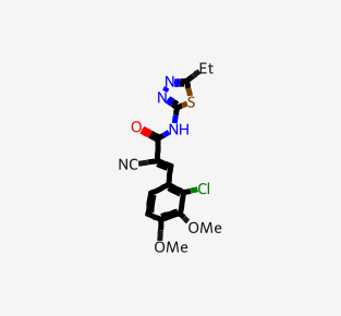 CCc1nnc(NC(=O)/C(C#N)=C/c2ccc(OC)c(OC)c2Cl)s1